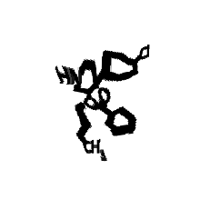 CCCCO[C@H]1CNCC[C@@]1(OCc1ccccc1)c1ccc(Cl)cc1